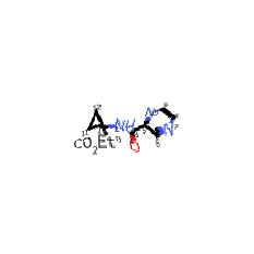 CCOC(=O)C1(NC(=O)c2cnccn2)CC1